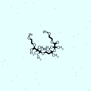 CC(C)OCCOC(=O)C(C)(C)OC(C)(C)CCOC(C)(C)C(C)(C)C(=O)OCCOC(C)C